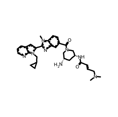 CN(C)C/C=C/C(=O)N[C@@H]1C[C@H](N)CN(C(=O)c2ccc3c(c2)nc(-c2cc4cccnc4n2CC2CC2)n3C)C1